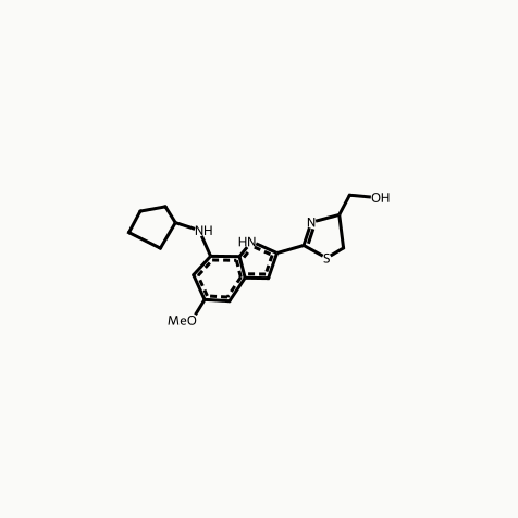 COc1cc(NC2CCCC2)c2[nH]c(C3=NC(CO)CS3)cc2c1